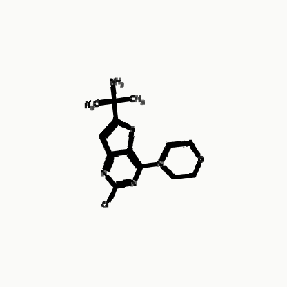 CC(C)(N)c1cc2nc(Cl)nc(N3CCOCC3)c2s1